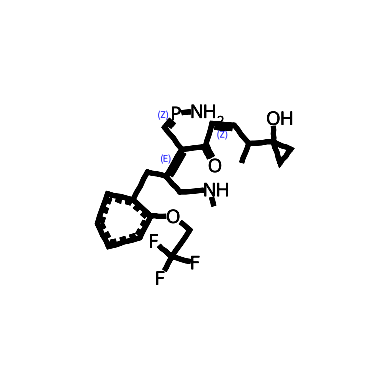 CNC/C(Cc1ccccc1OCC(F)(F)F)=C(/C=P\N)C(=O)/C=C\C(C)C1(O)CC1